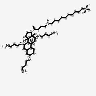 CC(CCCNCCCCCCCCCC[Si](C)(C)C)[C@H]1CC[C@H]2C3[C@H](OCCCN)CC4C[C@H](OCCCN)CC[C@]4(C)[C@H]3C[C@H](OCCCN)C12C